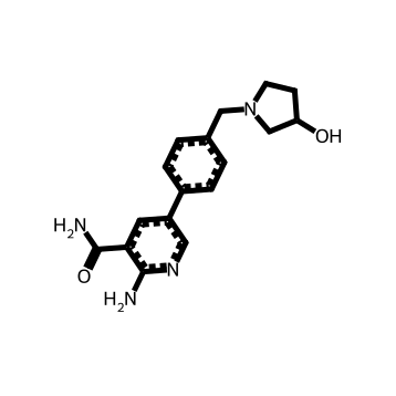 NC(=O)c1cc(-c2ccc(CN3CCC(O)C3)cc2)cnc1N